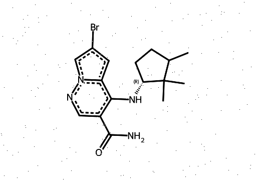 CC1CC[C@@H](Nc2c(C(N)=O)cnn3cc(Br)cc23)C1(C)C